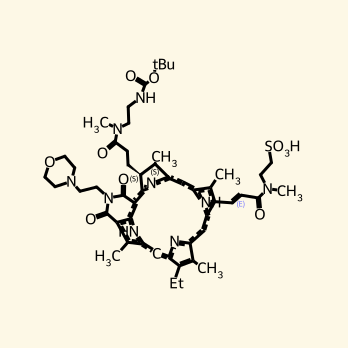 CCC1=C(C)c2cc3[nH]c(cc4nc(c5c6[nH]c(cc1n2)c(C)c6C(=O)N(CCN1CCOCC1)C5=O)[C@@H](CCC(=O)N(C)CCNC(=O)OC(C)(C)C)[C@@H]4C)c(C)c3/C=C/C(=O)N(C)CCS(=O)(=O)O